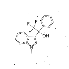 Cn1cc(C(O)(c2ccccc2)C(F)(F)F)c2ccccc21